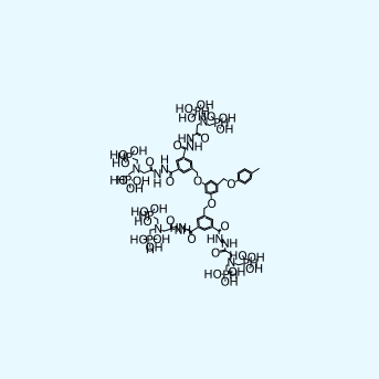 Cc1ccc(OCc2cc(OCc3cc(C(=O)NNC(=O)CN(C[PH](O)(O)O)C[PH](O)(O)O)cc(C(=O)NNC(=O)CN(C[PH](O)(O)O)C[PH](O)(O)O)c3)cc(OCc3cc(C(=O)NNC(=O)CN(C[PH](O)(O)O)C[PH](O)(O)O)cc(C(=O)NNC(=O)CN(C[PH](O)(O)O)C[PH](O)(O)O)c3)c2)cc1